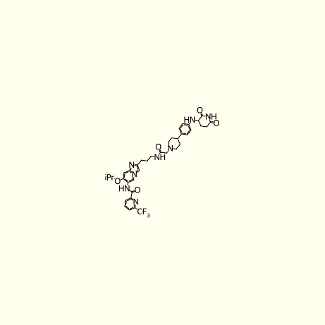 CC(C)Oc1cc2nc(CCCNC(=O)CN3CCC(c4ccc(NC5CCC(=O)NC5=O)cc4)CC3)cn2cc1NC(=O)c1cccc(C(F)(F)F)n1